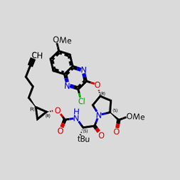 C#CCCC[C@@H]1C[C@H]1OC(=O)N[C@H](C(=O)N1C[C@H](Oc2nc3cc(OC)ccc3nc2Cl)C[C@H]1C(=O)OC)C(C)(C)C